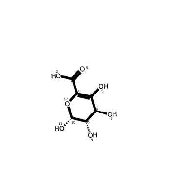 O=C(O)C1=C(O)[C@@H](O)[C@H](O)[C@H](O)O1